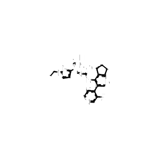 CCn1ccc(S(N)(=O)=NC(=O)Nc2c(-c3ccncc3F)cnc3c2CCC3)n1